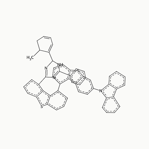 CC1CC=CC=C1C1N=C(c2cccc3sc4cccc(-c5cccc6sc7cc(-n8c9ccccc9c9ccccc98)ccc7c56)c4c23)N=C(c2ccccc2)N1